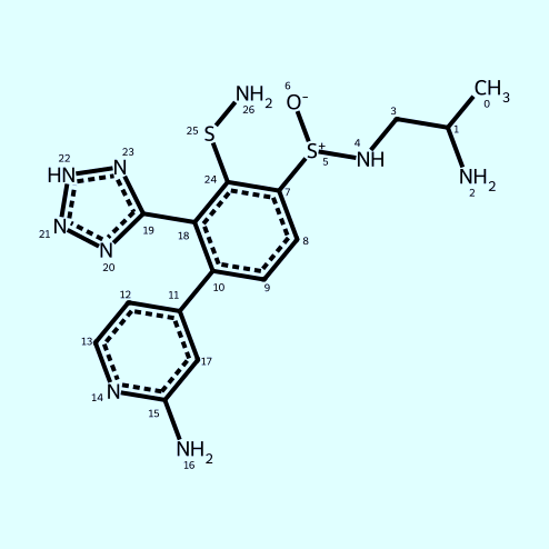 CC(N)CN[S+]([O-])c1ccc(-c2ccnc(N)c2)c(-c2nn[nH]n2)c1SN